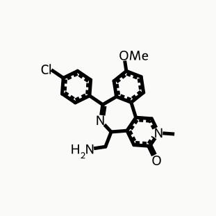 COc1ccc2c(c1)C(c1ccc(Cl)cc1)=NC(CN)c1cc(=O)n(C)cc1-2